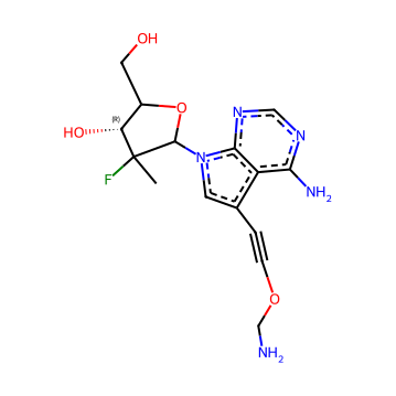 CC1(F)C(n2cc(C#COCN)c3c(N)ncnc32)OC(CO)[C@H]1O